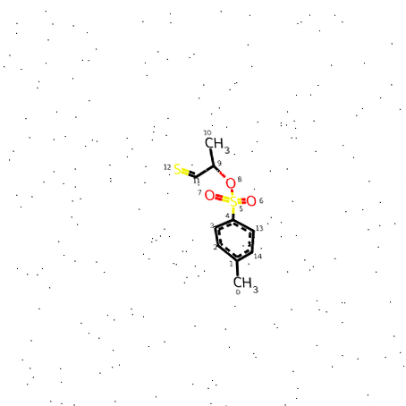 Cc1ccc(S(=O)(=O)OC(C)C=S)cc1